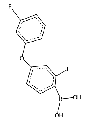 OB(O)c1ccc(Oc2cccc(F)c2)cc1F